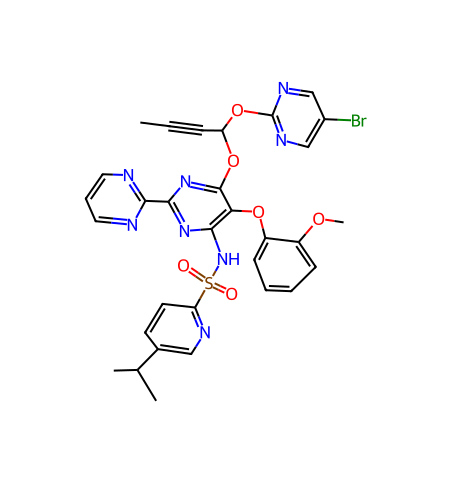 CC#CC(Oc1ncc(Br)cn1)Oc1nc(-c2ncccn2)nc(NS(=O)(=O)c2ccc(C(C)C)cn2)c1Oc1ccccc1OC